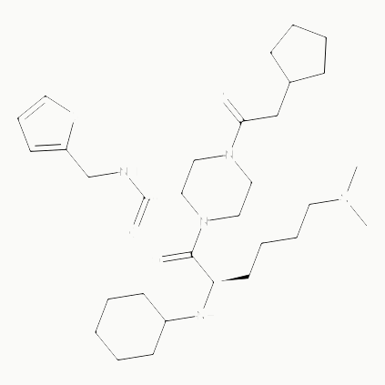 CN(C)CCCC[C@@H](NC1CCCCC1)C(=O)N1CCN(C(=O)CC2CCCC2)C[C@H]1C(=O)NCc1cccs1